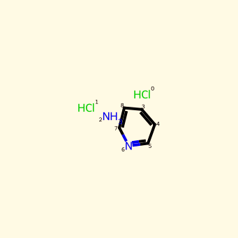 Cl.Cl.N.c1ccncc1